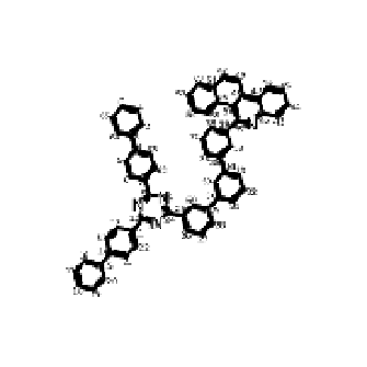 c1ccc(-c2ccc(-c3nc(-c4ccc(-c5ccccc5)cc4)nc(-c4cccc(-c5cccc(-c6cccc(-c7nc8ccccc8c8ccc9ccccc9c78)c6)c5)c4)n3)cc2)cc1